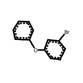 Brc1c[c]cc(Oc2ccccc2)c1